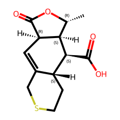 C[C@H]1OC(=O)[C@@H]2C=C3CSCC[C@H]3[C@H](C(=O)O)[C@H]12